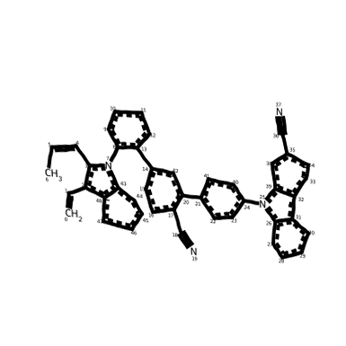 C=Cc1c(/C=C\C)n(-c2ccccc2-c2ccc(C#N)c(-c3ccc(-n4c5ccccc5c5ccc(C#N)cc54)cc3)c2)c2ccccc12